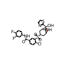 C[C@H]1CC2CC(S(=O)(=O)c3cc(C(=O)Nc4ccc(F)c(F)c4)ccc3Cl)CC1[C@@]2(O)C(O)c1nccs1